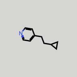 c1cc(CCC2CC2)ccn1